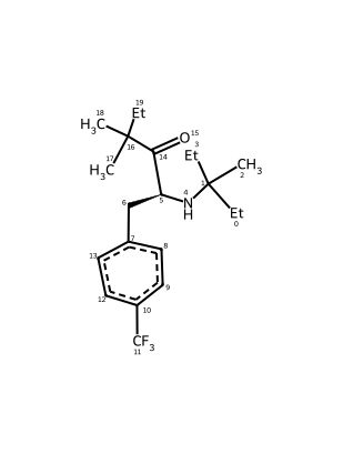 CCC(C)(CC)N[C@@H](Cc1ccc(C(F)(F)F)cc1)C(=O)C(C)(C)CC